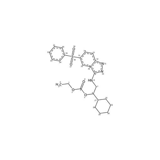 CCOC(=O)OC(CNc1nnc2ccc(S(=O)(=O)c3ccccc3)cn12)C1CCCCC1